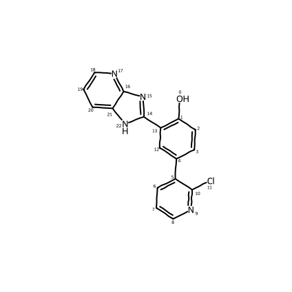 Oc1ccc(-c2cccnc2Cl)cc1-c1nc2ncccc2[nH]1